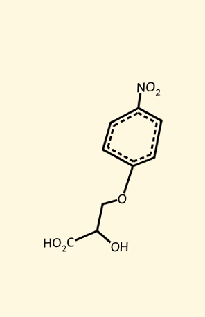 O=C(O)C(O)COc1ccc([N+](=O)[O-])cc1